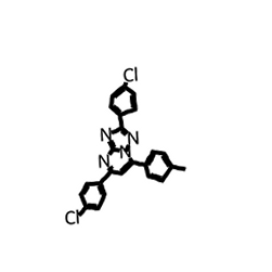 Cc1ccc(-c2cc(-c3ccc(Cl)cc3)nc3nc(-c4ccc(Cl)cc4)nn23)cc1